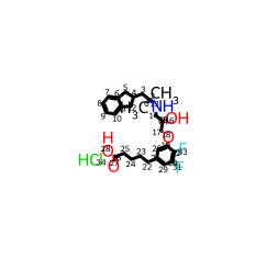 CC(C)(CC1Cc2ccccc2C1)NC[C@@H](O)COc1cc(CCCCC(=O)O)cc(F)c1F.Cl